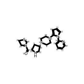 O=C([C@@H]1C[C@H](N2CCN(c3cccn3-c3ccccn3)CC2)CN1)N1CCSC1